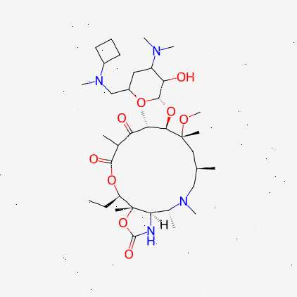 CC[C@H]1OC(=O)C(C)C(=O)[C@H](C)[C@@H](O[C@@H]2OC(CN(C)C3CCC3)CC(N(C)C)C2O)[C@](C)(OC)C[C@@H](C)CN(C)[C@H](C)[C@H]2NC(=O)O[C@@]21C